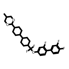 CC1COC(C2CCC(C3CCC(C(F)(F)Oc4ccc(-c5ccc(F)c(F)c5)c(F)c4)CC3)CC2)OC1